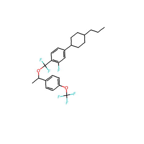 CCCC1CCC(c2ccc(C(F)(F)OC(C)c3ccc(OC(F)(F)F)cc3)c(F)c2)CC1